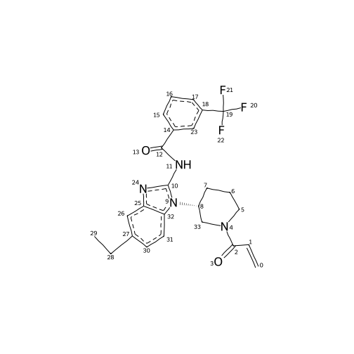 C=CC(=O)N1CCC[C@@H](n2c(NC(=O)c3cccc(C(F)(F)F)c3)nc3cc(CC)ccc32)C1